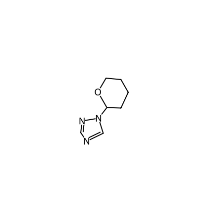 c1ncn(C2CCCCO2)n1